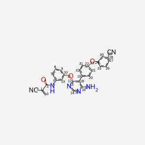 C=C(C#N)C(=O)Nc1cccc(Oc2ncnc(N)c2-c2ccc(Oc3cccc(C#N)c3)cc2)c1